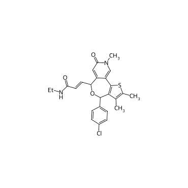 CCNC(=O)/C=C/C1OC(c2ccc(Cl)cc2)c2c(sc(C)c2C)-c2cn(C)c(=O)cc21